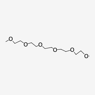 COCCOCCOCCOCCOCC[O]